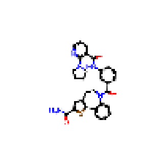 NC(=O)c1cc2c(s1)-c1ccccc1N(C(=O)c1cccc(NC(=O)c3cccnc3N3CCCC3)c1)CC2